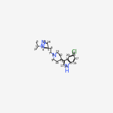 CC(C)n1cc(CCN2CCC(c3c[nH]c4ccc(Cl)cc34)CC2)cn1